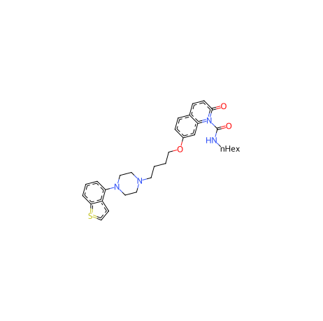 CCCCCCNC(=O)n1c(=O)ccc2ccc(OCCCCN3CCN(c4cccc5sccc45)CC3)cc21